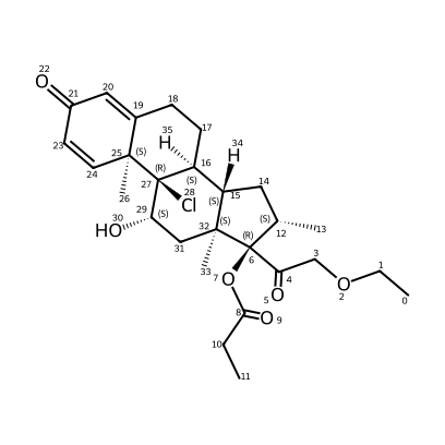 CCOCC(=O)[C@@]1(OC(=O)CC)[C@@H](C)C[C@H]2[C@@H]3CCC4=CC(=O)C=C[C@]4(C)[C@@]3(Cl)[C@@H](O)C[C@@]21C